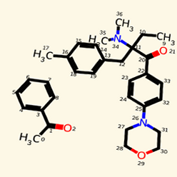 CC(=O)c1ccccc1.CCC(Cc1ccc(C)cc1)(C(=O)c1ccc(N2CCOCC2)cc1)N(C)C